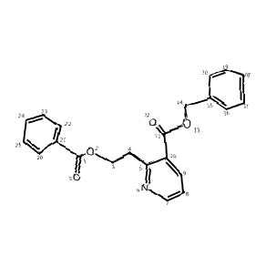 O=C(OCCc1ncccc1C(=O)OCc1ccccc1)c1ccccc1